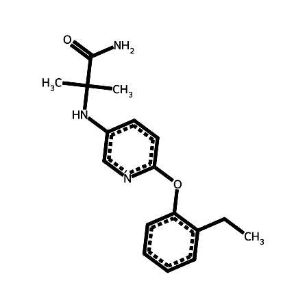 CCc1ccccc1Oc1ccc(NC(C)(C)C(N)=O)cn1